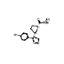 CCNC(=O)[C@H]1CC[C@@H](n2cnnc2-c2ccc(Br)cc2)C1